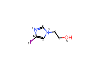 OCCn1cnc(I)c1